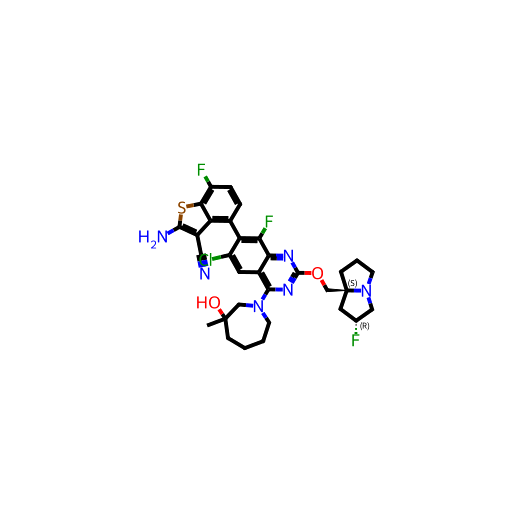 CC1(O)CCCCN(c2nc(OC[C@@]34CCCN3C[C@H](F)C4)nc3c(F)c(-c4ccc(F)c5sc(N)c(C#N)c45)c(Cl)cc23)C1